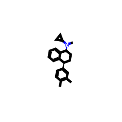 Cc1ccc([C@@H]2CC[C@H](N(C)C3CC3)c3ccccc32)cc1C